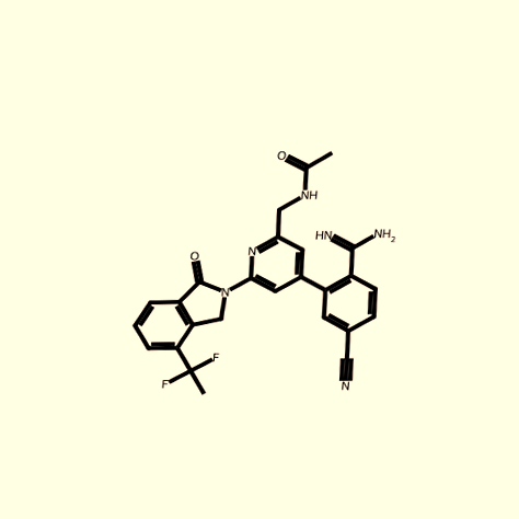 CC(=O)NCc1cc(-c2cc(C#N)ccc2C(=N)N)cc(N2Cc3c(cccc3C(C)(F)F)C2=O)n1